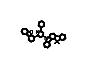 CC1(C)c2ccccc2-c2ccc3c(c21)c1ccccc1n3-c1cc(-c2ccccc2)nc(-c2cccc3c2oc2ccccc23)c1